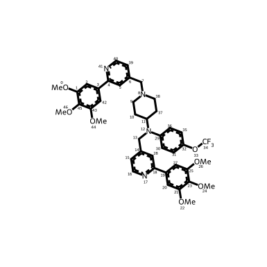 COc1cc(-c2cc(CN3CCC(N(Cc4ccnc(-c5cc(OC)c(OC)c(OC)c5)c4)c4ccc(OC(F)(F)F)cc4)CC3)ccn2)cc(OC)c1OC